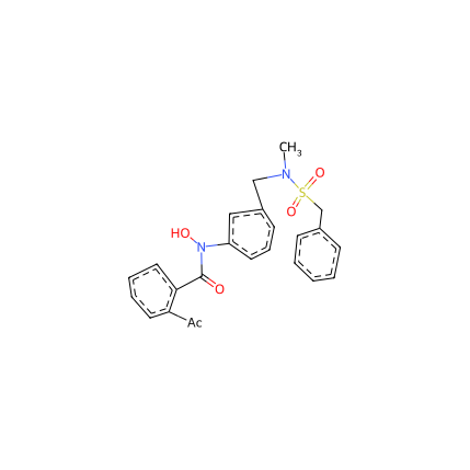 CC(=O)c1ccccc1C(=O)N(O)c1cccc(CN(C)S(=O)(=O)Cc2ccccc2)c1